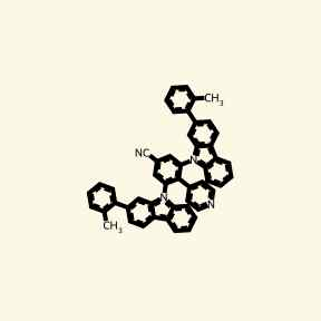 Cc1ccccc1-c1ccc2c3ccccc3n(-c3cc(C#N)cc(-n4c5ccccc5c5ccc(-c6ccccc6C)cc54)c3-c3ccncc3)c2c1